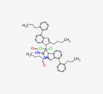 CCCCC1=Cc2c(-c3ccccc3CCC)cccc2[CH]1[Zr]([Cl])([Cl])([B](NC=O)NC=O)[CH]1C(CCCC)=Cc2c(-c3ccccc3CCC)cccc21